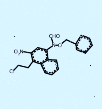 O=CN(OCc1ccccc1)c1cc([N+](=O)[O-])c(CCCl)c2ccccc12